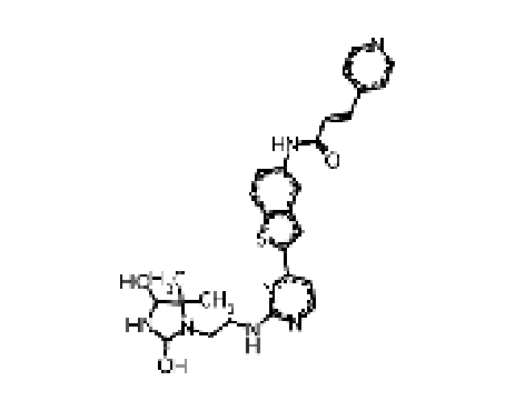 CC1(C)C(O)NC(O)N1CCNc1nccc(-c2cc3cc(NC(=O)C=Cc4ccncc4)ccc3s2)n1